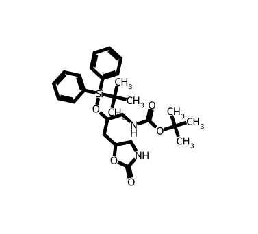 CC(C)(C)OC(=O)NCC(CC1CNC(=O)O1)O[Si](c1ccccc1)(c1ccccc1)C(C)(C)C